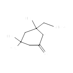 CCCCCCCCC1(C)CC(=O)CC(C)(C)C1